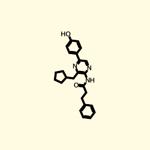 O=C(CCc1ccccc1)Nc1ncc(-c2ccc(O)cc2)nc1CC1CCCC1